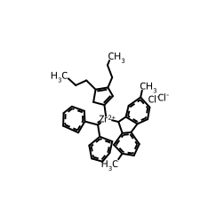 CCCC1=C(CCC)C[C]([Zr+2](=[C](c2ccccc2)c2ccccc2)[CH]2c3cc(C)ccc3-c3ccc(C)cc32)=C1.[Cl-].[Cl-]